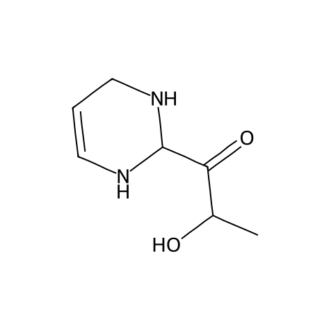 CC(O)C(=O)C1NC=CCN1